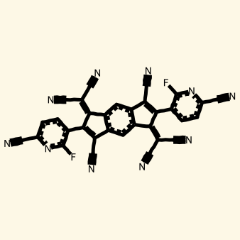 N#CC(C#N)=C1C(c2ccc(C#N)nc2F)=C(C#N)c2cc3c(cc21)C(C#N)=C(c1ccc(C#N)nc1F)C3=C(C#N)C#N